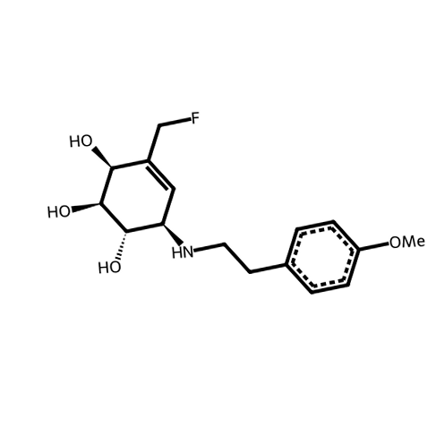 COc1ccc(CCN[C@@H]2C=C(CF)[C@H](O)[C@H](O)[C@H]2O)cc1